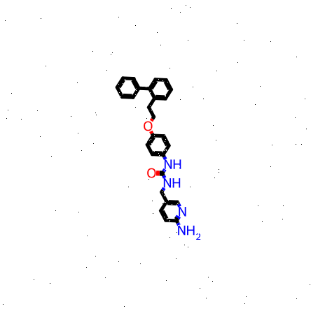 Nc1ccc(CNC(=O)Nc2ccc(OCCc3ccccc3-c3ccccc3)cc2)cn1